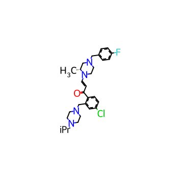 CC(C)N1CCN(Cc2cc(Cl)ccc2C(=O)/C=C/N2CCN(Cc3ccc(F)cc3)C[C@H]2C)CC1